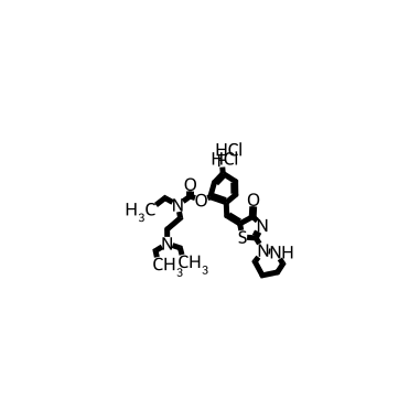 CCN(CC)CCN(CC)C(=O)Oc1cc(F)ccc1/C=C1/SC(N2CCCCN2)=NC1=O.Cl.Cl